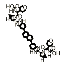 O=C(O)N[C@@H](C(=O)N1C2C[C@@H]2C[C@H]1c1nc2cc(-c3ccc4cc(-c5ccc6[nH]c([C@@H]7C[C@H]8CC8N7C(=O)[C@H](NC(=O)O)C7CCOCC7)nc6c5)ccc4c3)ccc2[nH]1)C1CCOCC1